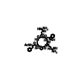 CC(=O)N[C@@H](Cc1ccccc1)C(=O)N[C@H]1CCNC(=O)C(CCCNC(=N)N)NC(=O)C(Cc2c[nH]c3ccccc23)NC(=O)[C@@H](CCCNC(=N)N)NC(=O)C2CCCN2C1=O